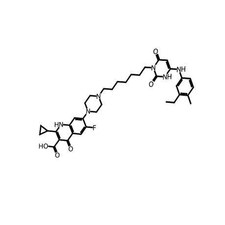 CCc1cc(Nc2cc(=O)n(CCCCCCCN3CCN(c4cc5[nH]c(C6CC6)c(C(=O)O)c(=O)c5cc4F)CC3)c(=O)[nH]2)ccc1C